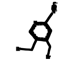 [C-]#[N+]c1cc(CBr)c(CBr)cn1